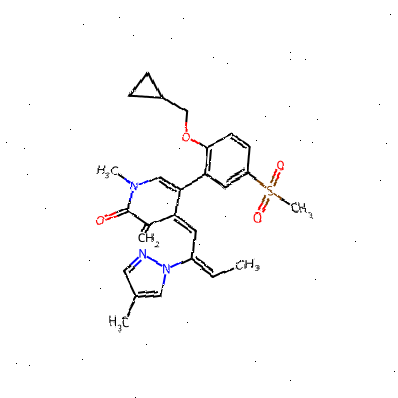 C=c1c(=O)n(C)cc(-c2cc(S(C)(=O)=O)ccc2OCC2CC2)/c1=C/C(=C\C)n1cc(C)cn1